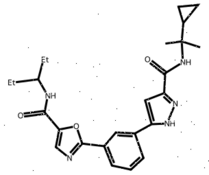 CCC(CC)NC(=O)c1cnc(-c2cccc(-c3cc(C(=O)NC(C)(C)C4CC4)n[nH]3)c2)o1